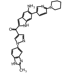 Cc1nc2cc(-n3cc(C(=O)c4cc5cc(N)c(-c6ccc(N7CCCCC7)nc6)cc5[nH]4)cn3)ccc2[nH]1